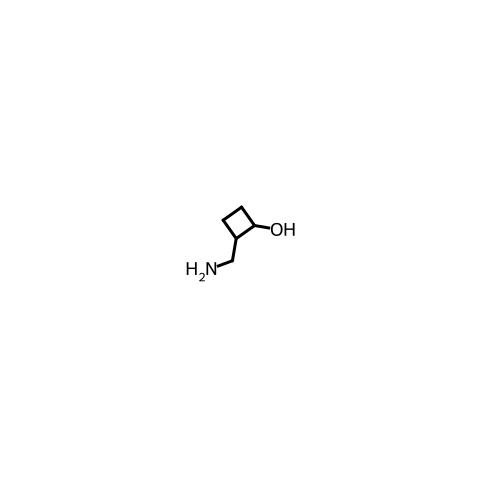 NCC1CCC1O